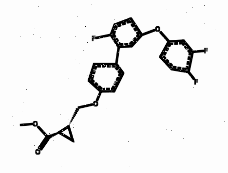 COC(=O)[C@@H]1C[C@H]1COc1ccc(-c2cc(Oc3ccc(F)c(F)c3)ccc2F)cc1